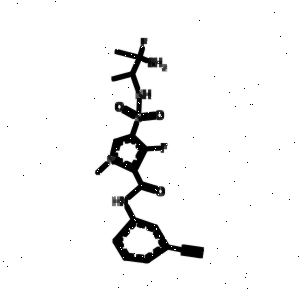 BC(C)(F)C(C)NS(=O)(=O)c1cn(C)c(C(=O)Nc2cccc(C#C)c2)c1F